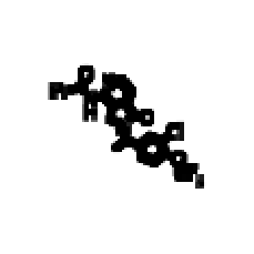 CC(C)C(=O)Nc1nccc2c1CN(C(C)c1ccc(OC(F)(F)F)c(Cl)c1)C2=O